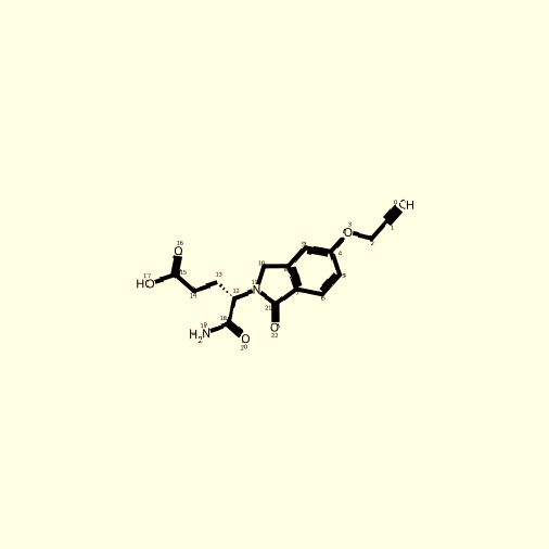 C#CCOc1ccc2c(c1)CN([C@@H](CCC(=O)O)C(N)=O)C2=O